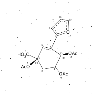 CC(=O)OC1C[C@](OC(C)=O)(C(=O)O)C=C(c2ccco2)[C@H]1OC(C)=O